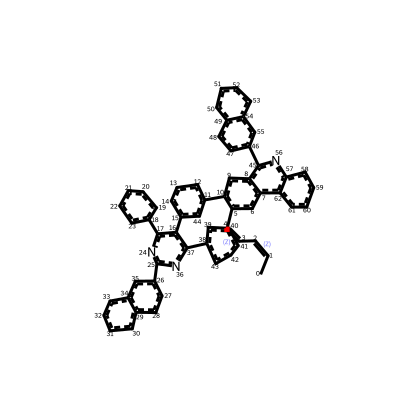 C/C=C\C=C/c1cc2c(cc1-c1cccc(-c3c(-c4ccccc4)nc(-c4ccc5ccccc5c4)nc3-c3ccccc3)c1)c(-c1ccc3ccccc3c1)nc1ccccc12